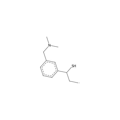 [CH2]CC(S)c1cccc(CN(C)C)c1